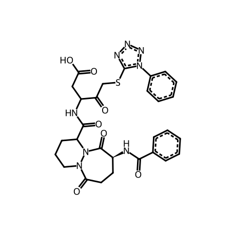 O=C(O)CC(NC(=O)C1CCCN2C(=O)CC[C@H](NC(=O)c3ccccc3)C(=O)N12)C(=O)CSc1nnnn1-c1ccccc1